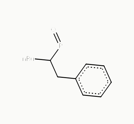 CCCCC(Cc1ccccc1)P=O